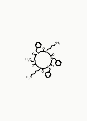 NCCCCN1CC(=O)N(Cc2ccccc2)CC(=O)N(Cc2ccccc2)CC(=O)N(CCCCN)CC(=O)N(CP)CC(=O)N(Cc2ccccc2)CC1=O